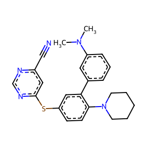 CN(C)c1cccc(-c2cc(Sc3cc(C#N)ncn3)ccc2N2CCCCC2)c1